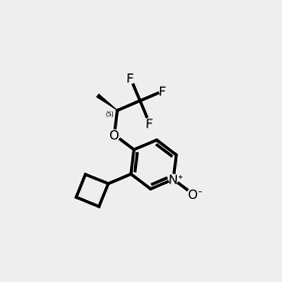 C[C@H](Oc1cc[n+]([O-])cc1C1CCC1)C(F)(F)F